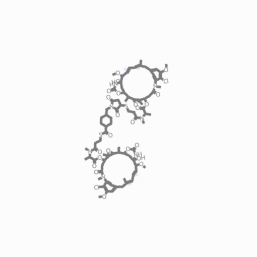 COc1cc2cc(c1Cl)N(C)C(=O)CC(OC(=O)C(C)N(C)C(=O)CCSC(=O)C1CCC(CN3C(=O)CC(SCCC(=O)N(C)C(C)C(=O)OC4CC(=O)N(C)c5cc(cc(OC)c5Cl)C/C(C)=C/C=C/C(OC)C5(O)CC(OC(=O)N5)C(C)C5OC45C)C3=O)CC1)C1(C)OC1C(C)C1CC(O)(NC(=O)O1)C(OC)/C=C/C=C(\C)C2